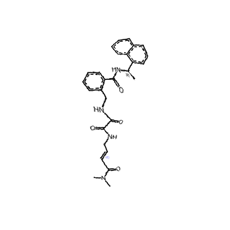 C[C@@H](NC(=O)c1ccccc1CNC(=O)C(=O)NC/C=C/C(=O)N(C)C)c1cccc2ccccc12